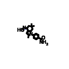 Cc1cc2c(n1-c1ccc(C(N)=O)cc1)CC(C)(C)C/C2=N/O